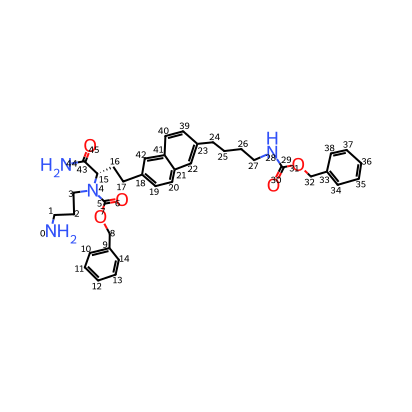 NCCCN(C(=O)OCc1ccccc1)[C@@H](CCc1ccc2cc(CCCCNC(=O)OCc3ccccc3)ccc2c1)C(N)=O